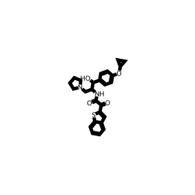 O=C(NC(CN1CCCC1)C(O)c1ccc(OC2CC2)cc1)C(=O)c1cc2ccccc2s1